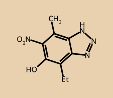 CCc1c(O)c([N+](=O)[O-])c(C)c2[nH]nnc12